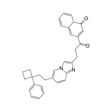 O=C(CCc1cn2cc(CCC3(c4ccccc4)CCC3)ccc2n1)C1=CC(=O)C2C=CC=CC2=C1